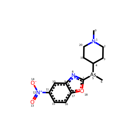 CN1CCC([As](C)c2nc3cc([N+](=O)[O-])ccc3o2)CC1